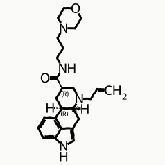 C=CCN1C[C@H](C(=O)NCCCN2CCOCC2)C[C@@H]2c3cccc4[nH]cc(c34)C[C@H]21